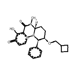 CN1C(=O)c2c(O)c(=O)ccn2N2[C@H](c3ccccc3)[C@H](OCC3CCC3)CC[C@@H]12